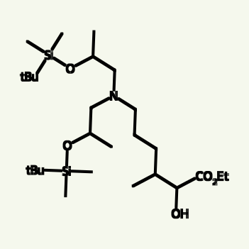 CCOC(=O)C(O)C(C)CCCN(CC(C)O[Si](C)(C)C(C)(C)C)CC(C)O[Si](C)(C)C(C)(C)C